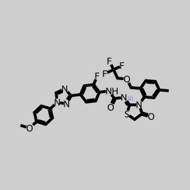 COc1ccc(-n2cnc(-c3ccc(NC(=O)/N=C4\SCC(=O)N4c4cc(C)ccc4COCC(F)(F)F)c(F)c3)n2)cc1